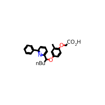 CCCCC(Oc1ccc(OCC(=O)O)c(C)c1)c1cccc(-c2ccccc2)n1